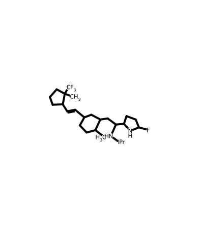 CC(C)NC(CC1CC(/C=C/C2CCCC2(C)C(F)(F)F)CCC1C)C1CCC(F)N1